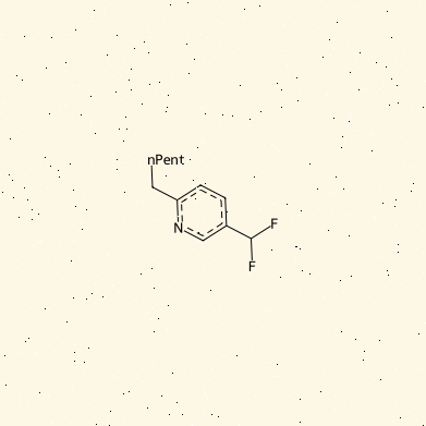 CCCCCCc1ccc(C(F)F)cn1